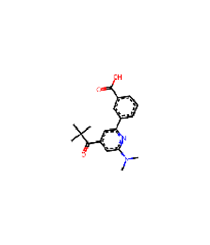 CN(C)c1cc(C(=O)C(C)(C)C)cc(-c2cccc(C(=O)O)c2)n1